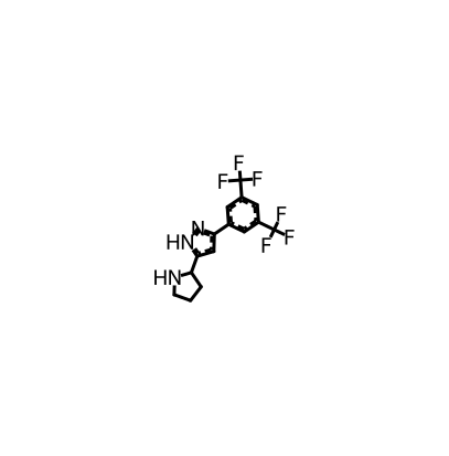 FC(F)(F)c1cc(-c2cc(C3CCCN3)[nH]n2)cc(C(F)(F)F)c1